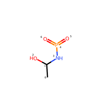 CC(O)NP(=O)=O